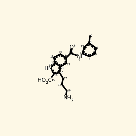 Cc1cccc(NC(=O)c2ccc3[nH]c(C(=O)O)c(CCCN)c3c2)c1